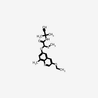 C#CC(C)(C)NC(=O)C(Oc1cc(C)c2ncc(OCC)cc2c1)SC